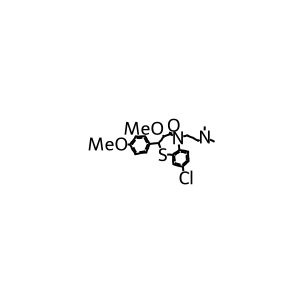 COc1ccc(C2Sc3cc(Cl)ccc3N(CCN(C)C)C(=O)C2OC)cc1